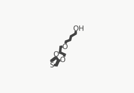 OCCCCOCC1COc2cscc2O1